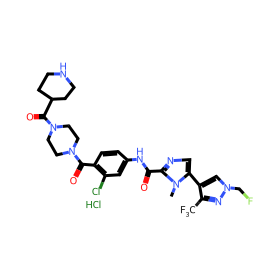 Cl.Cn1c(-c2cn(CF)nc2C(F)(F)F)cnc1C(=O)Nc1ccc(C(=O)N2CCN(C(=O)C3CCNCC3)CC2)c(Cl)c1